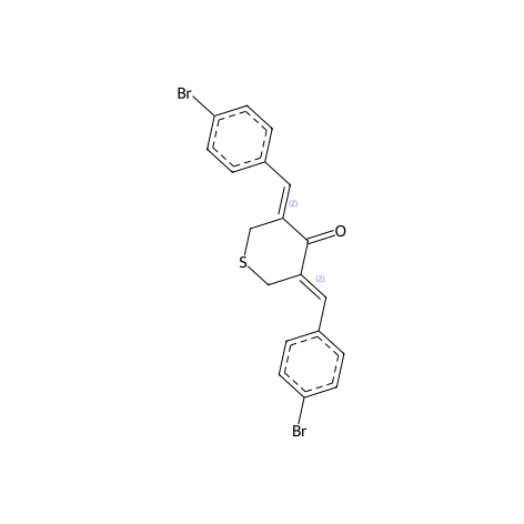 O=C1/C(=C/c2ccc(Br)cc2)CSC/C1=C\c1ccc(Br)cc1